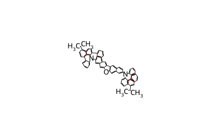 CC(C)c1ccc(-c2ccccc2N(c2ccc3cc4c(cc3c2)oc2cc3cc(N(c5ccccc5-c5ccccc5)c5ccccc5-c5ccc(C(C)C)cc5)ccc3cc24)c2ccccc2-c2ccccc2)cc1